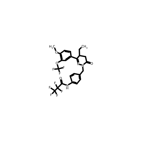 CCC1CC(=O)N(Cc2ccc(NC(=O)C(F)(F)C(F)(F)F)cc2)N=C1c1ccc(OC)c(OC(F)(F)F)c1